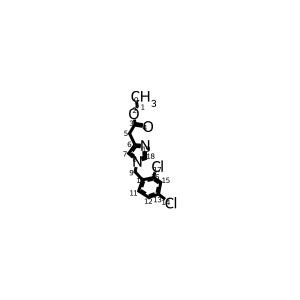 CCOC(=O)Cc1cn(Cc2ccc(Cl)cc2Cl)cn1